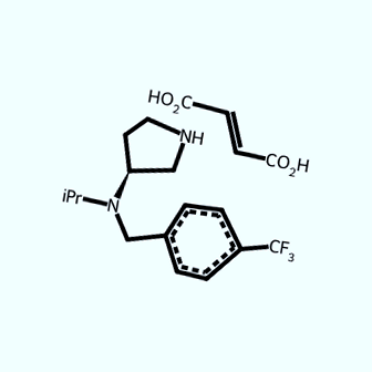 CC(C)N(Cc1ccc(C(F)(F)F)cc1)[C@H]1CCNC1.O=C(O)C=CC(=O)O